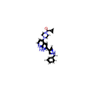 O=C(C1CC1)N1CCN(c2ccnc3[nH]c(-c4cnn(Cc5ccccc5)c4)cc23)CC1